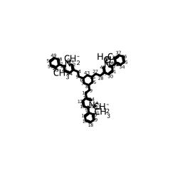 [CH2-][n+]1cc(CCC2CC(CCc3ccc(-c4ccccc4C)[n+]([CH2-])c3)CC(CCc3ccc(-c4ccccc4C)[n+]([CH2-])c3)C2)ccc1-c1ccccc1C